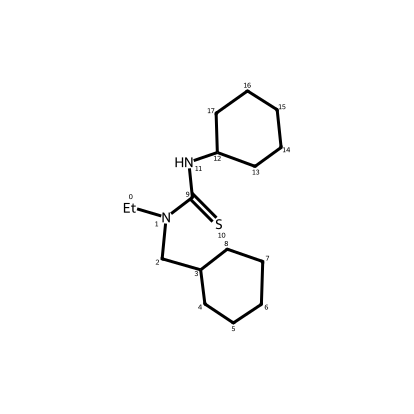 [CH2]CN(CC1CCCCC1)C(=S)NC1CCCCC1